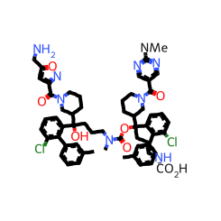 CNc1ncc(C(=O)N2CCCC(C(CCCNC(=O)O)(OC(=O)N(C)CCCC(O)(c3cccc(Cl)c3-c3cccc(C)c3)C3CCCN(C(=O)c4cc(CN)on4)C3)c3cccc(Cl)c3-c3cccc(C)c3)C2)cn1